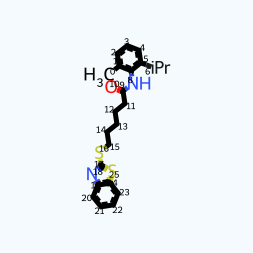 Cc1cccc(C(C)C)c1NC(=O)CCCCCSc1nc2ccccc2s1